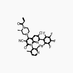 C=CC(=O)N1CCN(c2c(C#N)c(=O)n(-c3c(C)ccnc3C(C)C)c3nc(-c4c(F)c(F)c(F)c(F)c4F)c(Cl)cc23)C[C@H]1C